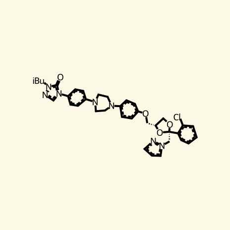 CCC(C)n1ncn(-c2ccc(N3CCN(c4ccc(OC[C@@H]5CO[C@@](Cn6cccn6)(c6ccccc6Cl)O5)cc4)CC3)cc2)c1=O